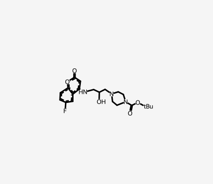 CC(C)(C)OC(=O)N1CCN(CC(O)CNc2cc(=O)oc3ccc(F)cc23)CC1